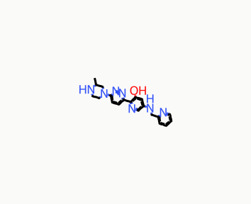 CC1CN(c2ccc(-c3ncc(NCc4ccccn4)cc3O)nn2)CCN1